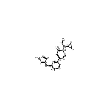 Cn1cc(Nc2nccc(-c3cnc(N(C=O)C4CC4)c(F)c3)n2)cn1